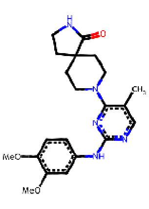 COc1ccc(Nc2ncc(C)c(N3CCC4(CCNC4=O)CC3)n2)cc1OC